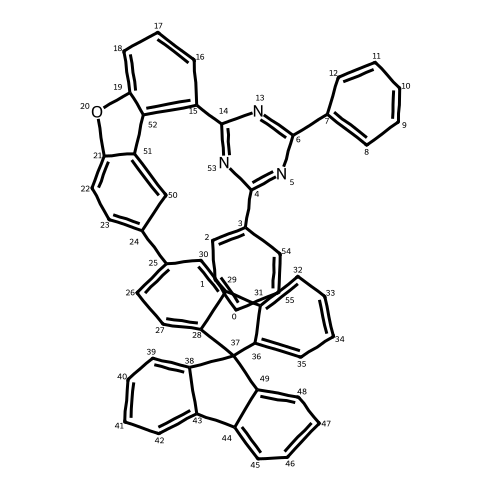 c1ccc(-c2nc(-c3ccccc3)nc(-c3cccc4oc5ccc(-c6ccc7c(c6)-c6ccccc6C76c7ccccc7-c7ccccc76)cc5c34)n2)cc1